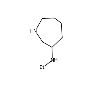 CCNC1CCCCNC1